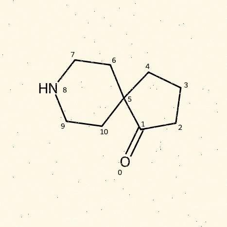 O=C1CCCC12CCNCC2